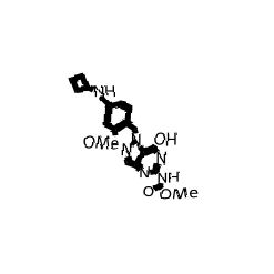 COC(=O)Nc1nc(O)c2c(cnn2Cc2ccc(CNC3CCC3)cc2OC)n1